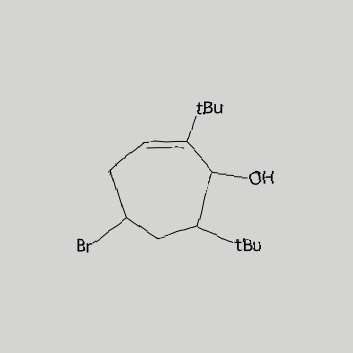 CC(C)(C)C1=CCC(Br)CC(C(C)(C)C)C1O